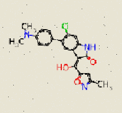 Cc1cc(/C(O)=C2\C(=O)Nc3cc(Cl)c(-c4ccc(N(C)C)cc4)cc32)on1